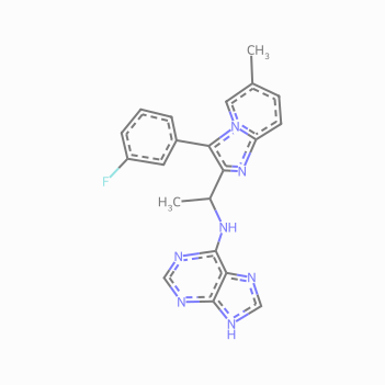 Cc1ccc2nc(C(C)Nc3ncnc4[nH]cnc34)c(-c3cccc(F)c3)n2c1